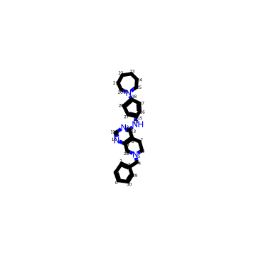 c1ccc(CN2CCc3c(ncnc3Nc3ccc(N4CCCCCC4)cc3)C2)cc1